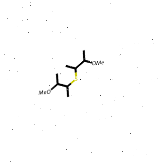 COC(C)C(C)SC(C)C(C)OC